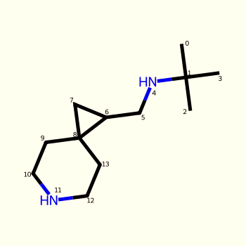 CC(C)(C)NCC1CC12CCNCC2